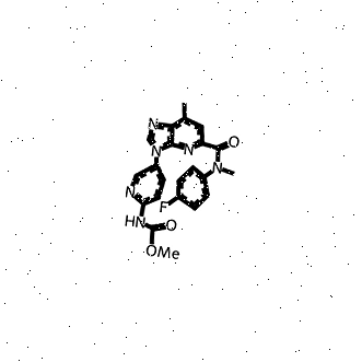 COC(=O)Nc1ccc(-n2cnc3c(C)cc(C(=O)N(C)c4ccc(F)cc4)nc32)cn1